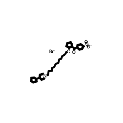 O=C(c1ccc([N+](=O)[O-])cc1)c1ccccc1OCCCCCCCCCCCC[n+]1ccc(-c2ccccc2)cc1.[Br-]